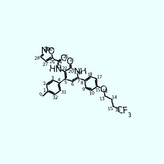 Cc1ccc(-c2cc(-c3ccc(OCCCC(F)(F)F)cc3)[nH]c(=O)c2NC(=O)c2ccno2)cc1